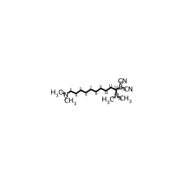 CN(C)CCCCCCCCCC(B(C#N)C#N)N(C)C